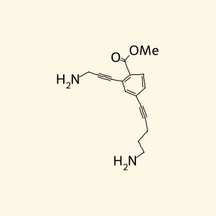 COC(=O)c1ccc(C#CCCCN)cc1C#CCN